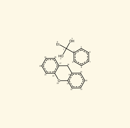 CCC(O)(O)c1ccccc1.c1ccc2c(c1)Cc1ccccc1O2